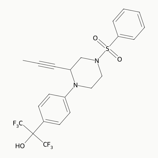 CC#CC1CN(S(=O)(=O)c2ccccc2)CCN1c1ccc(C(O)(C(F)(F)F)C(F)(F)F)cc1